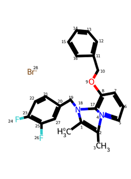 Cc1c(C)[n+]2cccc(OCc3ccccc3)c2n1Cc1ccc(F)c(F)c1.[Br-]